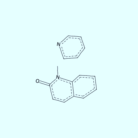 Cn1c(=O)ccc2ccccc21.c1ccncc1